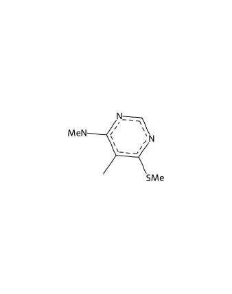 CNc1ncnc(SC)c1C